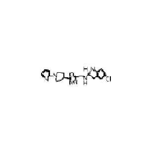 Nc1ccc(Cl)cc1CCNCc1nnc(C2CCN(c3ccccn3)CC2)o1